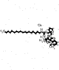 CCCCCCCCCCCCCCCCCCNC(=O)OCC1(COC(=O)C(N)(C(=O)C(C)(C)C)c2cccc[n+]2CC)CCCO1.[Cl-]